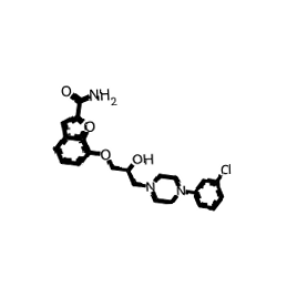 NC(=O)c1cc2cccc(OCC(O)CN3CCN(c4cccc(Cl)c4)CC3)c2o1